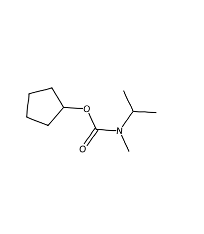 CC(C)N(C)C(=O)OC1CCCC1